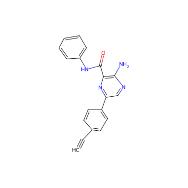 C#Cc1ccc(-c2cnc(N)c(C(=O)Nc3ccccc3)n2)cc1